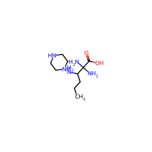 C1CNCCN1.CCCC(N)C(N)(N)C(=O)O